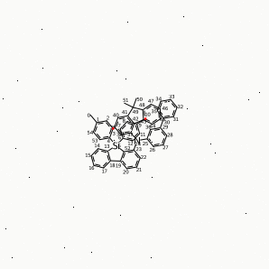 Cc1ccc([Si]2(c3ccc(C)cc3)c3ccccc3-c3cccc(N(c4cccc(-c5ccccc5)c4)c4cccc5c4-c4ccccc4C5(C)C)c32)cc1